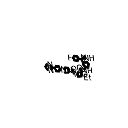 CCOC1(C(=O)Nc2ccc3[nH]nc(-c4ccc(F)cc4)c3c2)CCN(CC(=O)N2CCN(c3ccc(-c4ncccn4)cc3)CC2)C1